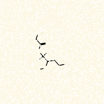 CCCC(OC)C(C)(C)OC(=O)CC